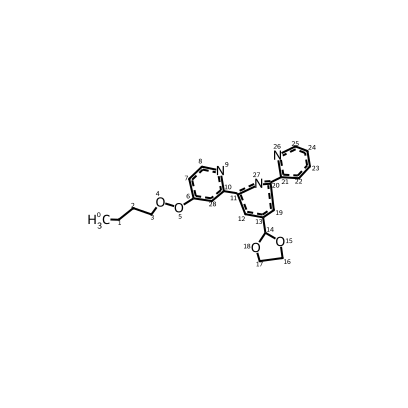 CCCCOOc1ccnc(-c2cc(C3OCCO3)cc(-c3ccccn3)n2)c1